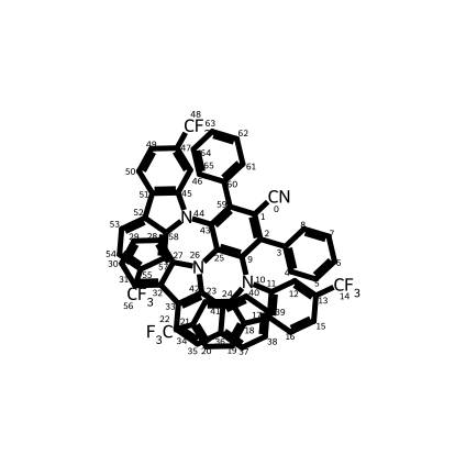 N#Cc1c(-c2ccccc2)c(-n2c3cc(C(F)(F)F)ccc3c3ccc(C(F)(F)F)cc32)c(-n2c3ccccc3c3ccc4ccccc4c32)c(-n2c3cc(C(F)(F)F)ccc3c3ccc(C(F)(F)F)cc32)c1-c1ccccc1